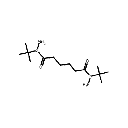 CC(C)(C)N(N)C(=O)CCCCC(=O)N(N)C(C)(C)C